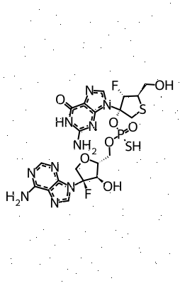 Nc1nc2c(ncn2[C@]2(OP(=O)(S)OC[C@H]3OC[C@@](F)(n4cnc5c(N)ncnc54)[C@@H]3O)CS[C@H](CO)[C@H]2F)c(=O)[nH]1